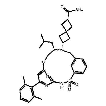 Cc1cccc(C)c1-c1cc2nc(n1)NS(=O)(=O)c1cccc(c1)CC([C@H]1CC3(C[C@H](C(N)=O)C3)C1)[C@H](CC(C)C)CO2